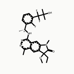 CCC1(OC)C(=O)N(C)c2cc3c(N[C@H](C)c4cccc(C(F)(F)C(C)(C)O)c4F)nnc(C)c3cc21